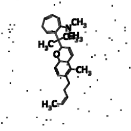 C/C=C\CCC1=C(C)C2C=CC(C(C)(C)C3=CCC=CC=C3N(C)C)OC2C=C1